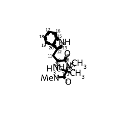 CNC(=O)C(C)(C)N(C)C(=O)[C@@H](Cc1c[nH]c2ccccc12)NC(C)=O